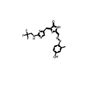 Cc1cc(O)ccc1N=N/C=c1/[nH]c(=O)/c(=C/c2cnc(NCC(F)(F)F)s2)s1